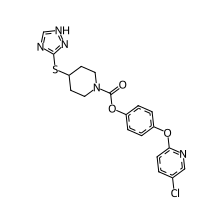 O=C(Oc1ccc(Oc2ccc(Cl)cn2)cc1)N1CCC(Sc2nc[nH]n2)CC1